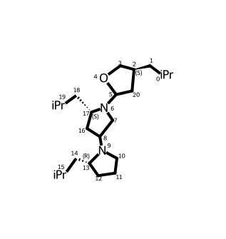 CC(C)C[C@@H]1COC(N2CC(N3CCC[C@@H]3CC(C)C)C[C@@H]2CC(C)C)C1